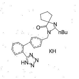 CCCCC1=NC2(CCCC2)C(=O)N1Cc1ccc(-c2ccccc2-c2nnn[nH]2)cc1.[KH]